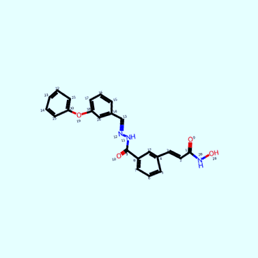 O=C(/C=C/c1cccc(C(=O)N/N=C/c2cccc(Oc3ccccc3)c2)c1)NO